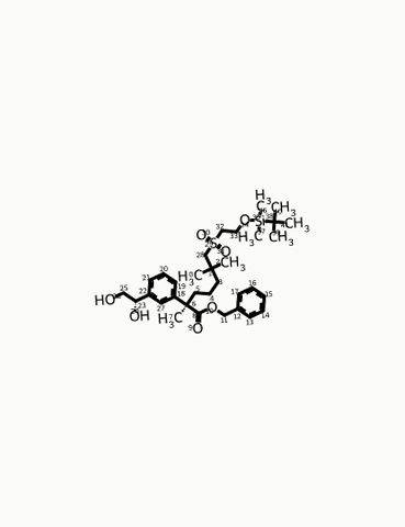 CC(C)(CCC[C@@](C)(C(=O)OCc1ccccc1)c1cccc([C@H](O)CO)c1)CS(=O)(=O)CCO[Si](C)(C)C(C)(C)C